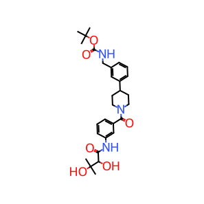 CC(C)(C)OC(=O)NCc1cccc(C2CCN(C(=O)c3cccc(NC(=O)C(O)C(C)(C)O)c3)CC2)c1